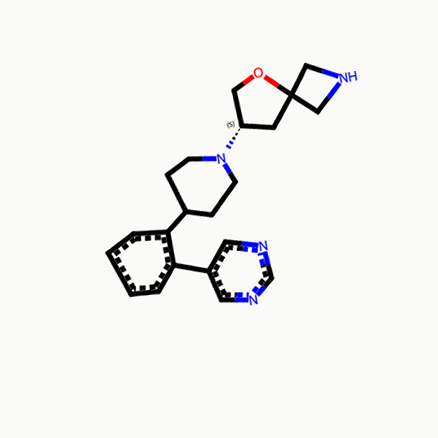 c1ccc(C2CCN([C@@H]3COC4(CNC4)C3)CC2)c(-c2cncnc2)c1